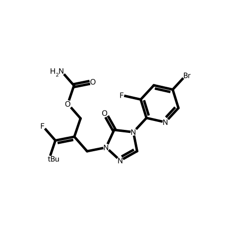 CC(C)(C)/C(F)=C(/COC(N)=O)Cn1ncn(-c2ncc(Br)cc2F)c1=O